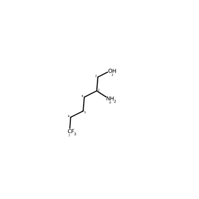 NC(CO)CCCC(F)(F)F